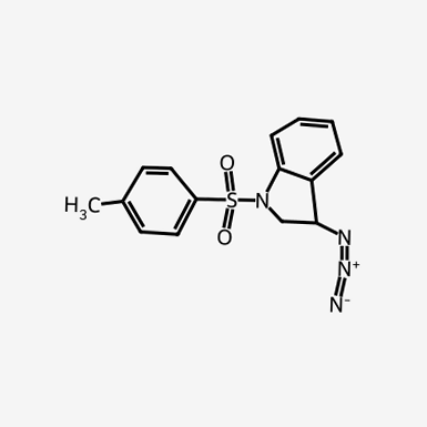 Cc1ccc(S(=O)(=O)N2CC(N=[N+]=[N-])c3ccccc32)cc1